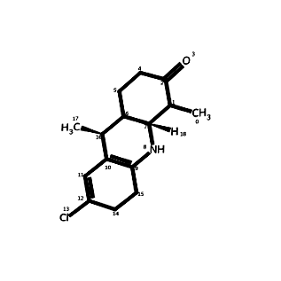 CC1C(=O)CCC2[C@H]1NC1=C(C=C(Cl)CC1)[C@H]2C